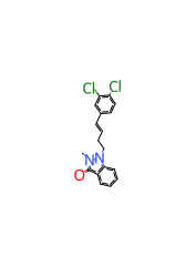 Cn1c(=O)c2ccccc2n1CCC=Cc1ccc(Cl)c(Cl)c1